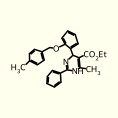 CCOC(=O)C1=C(C)NC(c2ccccc2)=NC1c1ccccc1OCc1ccc(C)cc1